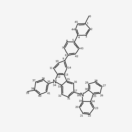 Cc1ccc(-c2ccc(-c3ccc4c(c3)c3cc(-n5c6ccccc6c6ccccc65)ccc3n4-c3ccc(C)cc3)cc2)cc1